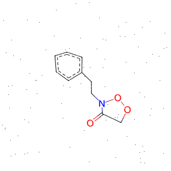 O=C1COON1CCc1ccccc1